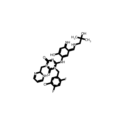 CC(C)(O)CN/C=C1/C=C(Nc2nc(=O)n(CC3N=CC=CN3)c(=O)n2Cc2cc(Cl)c(F)cc2F)C(O)=CC1=N